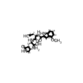 C#CC[C@H](NC(=O)c1cc2c(OC)cccc2[nH]1)C(=O)N[C@@H](C[C@@H]1CCNC1=O)C(N)O